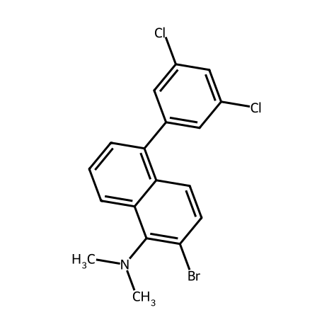 CN(C)c1c(Br)ccc2c(-c3cc(Cl)cc(Cl)c3)cccc12